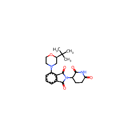 CC(C)(C)C1CN(c2cccc3c2C(=O)N(C2CCC(=O)NC2=O)C3=O)CCO1